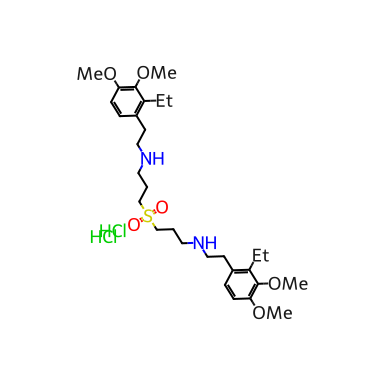 CCc1c(CCNCCCS(=O)(=O)CCCNCCc2ccc(OC)c(OC)c2CC)ccc(OC)c1OC.Cl.Cl